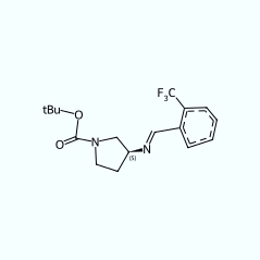 CC(C)(C)OC(=O)N1CC[C@H](N=Cc2ccccc2C(F)(F)F)C1